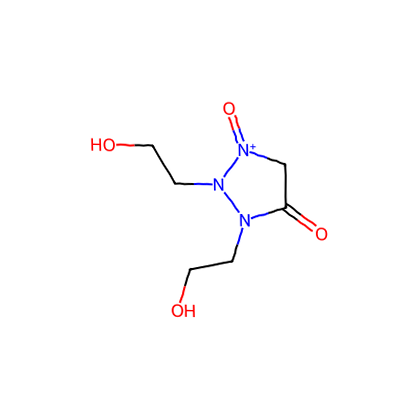 O=C1C[N+](=O)N(CCO)N1CCO